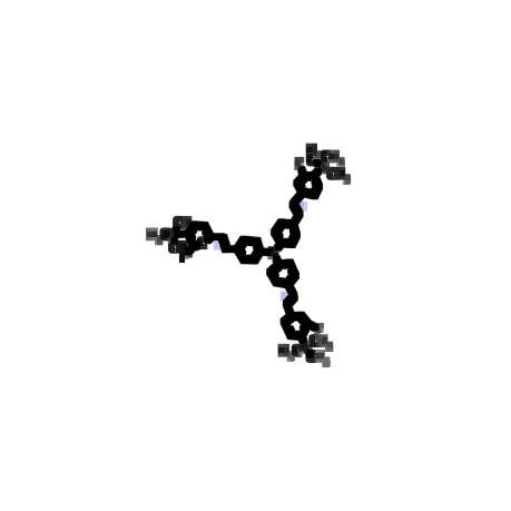 C[Si](C)(C)c1ccc(/C=C/c2ccc(N(c3ccc(/C=C/c4ccc([Si](C)(C)C)c(F)c4)cc3)c3ccc(/C=C/c4ccc([Si](C)(C)C)c(F)c4)cc3)cc2)cc1F